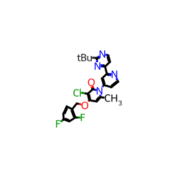 Cc1cc(OCc2ccc(F)cc2F)c(Cl)c(=O)n1-c1ccnc(-c2ccnc(C(C)(C)C)n2)c1